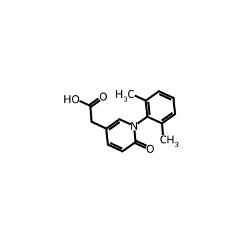 Cc1cccc(C)c1-n1cc(CC(=O)O)ccc1=O